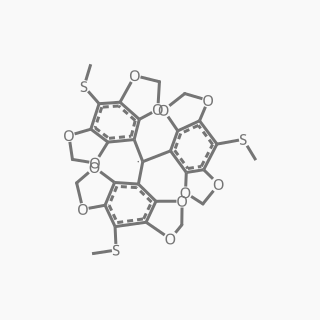 CSc1c2c(c([C](c3c4c(c(SC)c5c3OCO5)OCO4)c3c4c(c(SC)c5c3OCO5)OCO4)c3c1OCO3)OCO2